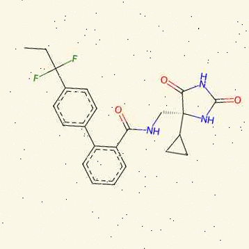 CCC(F)(F)c1ccc(-c2ccccc2C(=O)NC[C@@]2(C3CC3)NC(=O)NC2=O)cc1